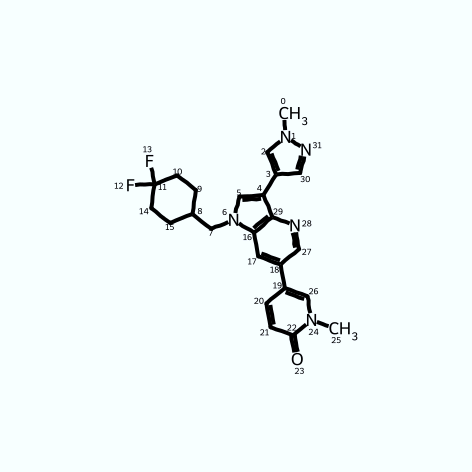 Cn1cc(-c2cn(CC3CCC(F)(F)CC3)c3cc(-c4ccc(=O)n(C)c4)cnc23)cn1